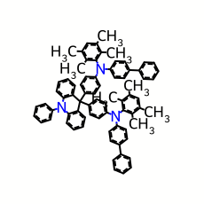 Cc1cc(C)c(C)c(N(c2ccc(-c3ccccc3)cc2)c2ccc(C3(c4ccc(N(c5ccc(-c6ccccc6)cc5)c5c(C)c(C)cc(C)c5C)cc4)c4ccccc4N(c4ccccc4)c4ccccc43)cc2)c1C